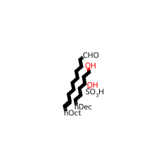 CCCCCCCCC=CCCCCCCCC=O.CCCCCCCCCCCCCCCCO.O=S(=O)(O)O